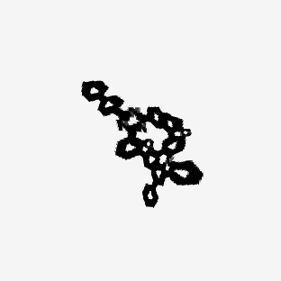 c1ccc(-c2ccc(-c3nc(-c4ccccc4)nc(-c4cccc5c4oc4c(-c6cc7c(cc6-n6c8ccccc8c8cc(-c9ccccc9)ccc86)oc6ccccc67)cccc45)n3)cc2)cc1